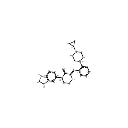 O=C1C(=Cc2ccccc2N2CCN(C3CC3)CC2)SCCN1c1ccc2c(c1)OCO2